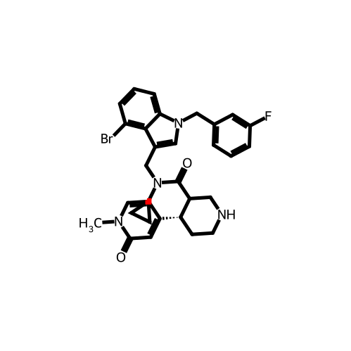 Cn1ccc([C@H]2CCNCC2C(=O)N(Cc2cn(Cc3cccc(F)c3)c3cccc(Br)c23)C2CC2)cc1=O